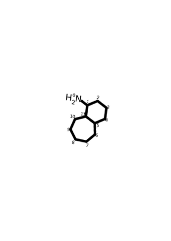 NC1CCCC2CCCCCC12